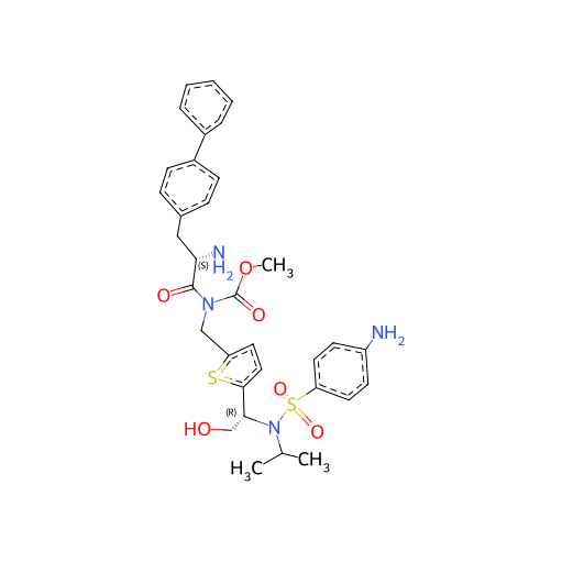 COC(=O)N(Cc1ccc([C@@H](CO)N(C(C)C)S(=O)(=O)c2ccc(N)cc2)s1)C(=O)[C@@H](N)Cc1ccc(-c2ccccc2)cc1